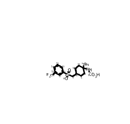 CC(C)(C)C1(NC(=O)O)CCC(CS(=O)(=O)c2cccc(C(F)(F)F)c2)CC1